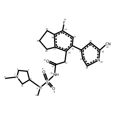 CN1CCC(N(C)S(=O)(=O)NC(=O)Cc2c(-c3ccnc(C#N)c3)cc(F)c3c2CCC3)C1